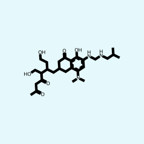 CC(=O)CC(=O)C(CO)C(CCO)CC1CC(=O)c2c(O)c(NCNCC(C)C)cc(N(C)C)c2C1